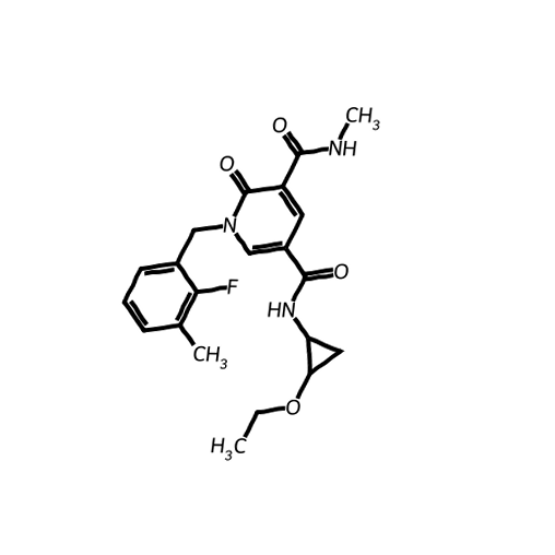 CCOC1CC1NC(=O)c1cc(C(=O)NC)c(=O)n(Cc2cccc(C)c2F)c1